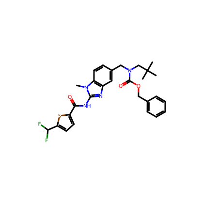 Cn1c(NC(=O)c2ccc(C(F)F)s2)nc2cc(CN(CC(C)(C)C)C(=O)OCc3ccccc3)ccc21